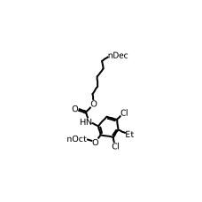 CCCCCCCCCCCCCCCOC(=O)Nc1cc(Cl)c(CC)c(Cl)c1OCCCCCCCC